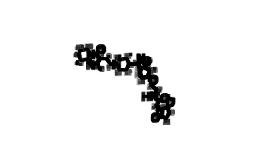 Cc1nc2n(c(=O)c1CCN1CCC(c3noc4cc(OCCNC(=O)CN5C(=O)CCC5=O)ccc34)CC1)CCCC2